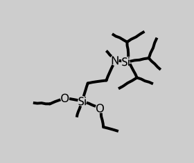 CCO[Si](C)(CCN(C)[Si](C(C)C)(C(C)C)C(C)C)OCC